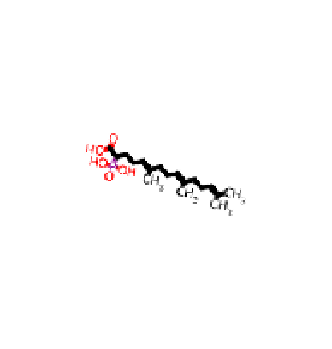 CC(C)=CCC/C(C)=C/CC/C(C)=C/CCC(C(=O)O)P(=O)(O)O